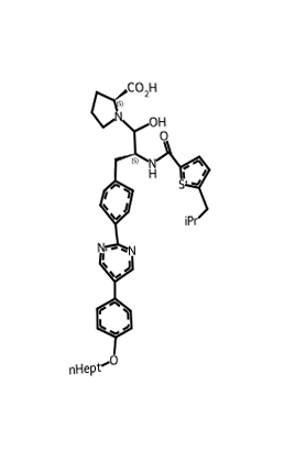 CCCCCCCOc1ccc(-c2cnc(-c3ccc(C[C@H](NC(=O)c4ccc(CC(C)C)s4)C(O)N4CCC[C@H]4C(=O)O)cc3)nc2)cc1